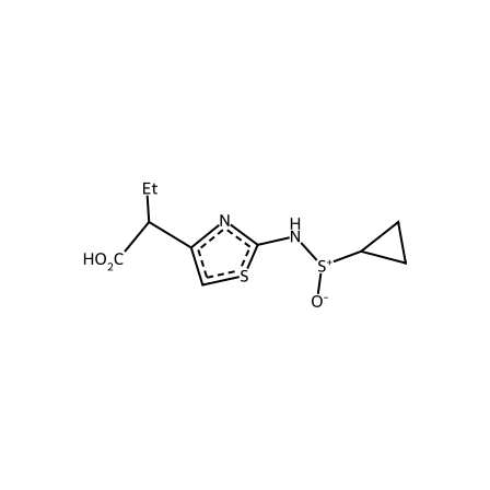 CCC(C(=O)O)c1csc(N[S+]([O-])C2CC2)n1